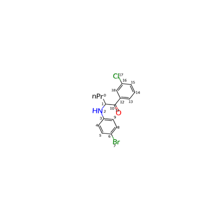 CCCC(Nc1ccc(Br)cc1)C(=O)c1cccc(Cl)c1